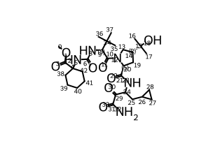 COC(=O)C1(NC(=O)N[C@H](C(=O)N2C[C@H](C(C)(C)O)C[C@H]2C(=O)NC(CC2CC2)C(=O)C(N)=O)C(C)(C)C)CCCCC1